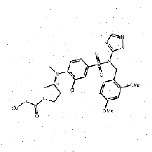 COc1ccc(CN(c2ncns2)S(=O)(=O)c2ccc(N(C)[C@H]3CCN(C(=O)OC(C)(C)C)C3)c(Cl)c2)c(OC)c1